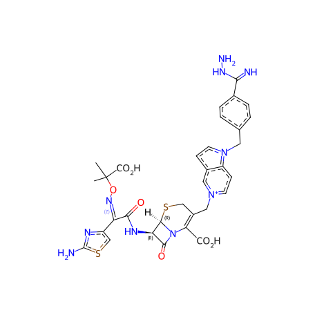 CC(C)(O/N=C(\C(=O)N[C@@H]1C(=O)N2C(C(=O)O)=C(C[n+]3ccc4c(ccn4Cc4ccc(C(=N)NN)cc4)c3)CS[C@H]12)c1csc(N)n1)C(=O)O